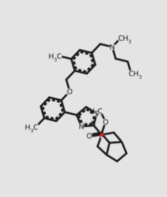 CCCN(C)Cc1ccc(COc2ccc(C)cc2-c2csc(N3CC4CCC(C3)C4C(=O)OC)n2)c(C)c1